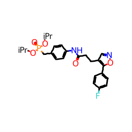 CC(C)OP(=O)(Cc1ccc(NC(=O)CCc2cnoc2-c2ccc(F)cc2)cc1)OC(C)C